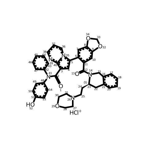 Cl.O=C(c1cc(-c2cc3c(cc2C(=O)N2Cc4ccccc4C[C@H]2CCN2CCOCC2)OCO3)n2cccnc12)N(c1ccccc1)c1ccc(O)cc1